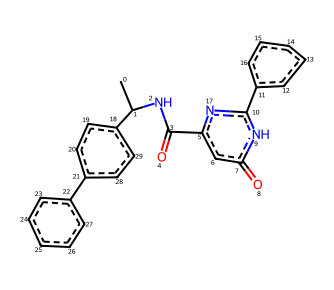 CC(NC(=O)c1cc(=O)[nH]c(-c2ccccc2)n1)c1ccc(-c2ccccc2)cc1